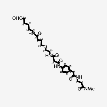 CNC(=O)CCNC(=O)Cc1ccc(NC(=O)CC(=O)NCCOCCCC(=O)NCCCCCC=O)cc1